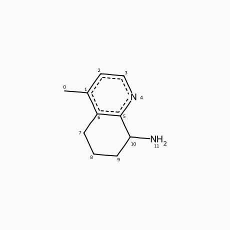 Cc1ccnc2c1CCCC2N